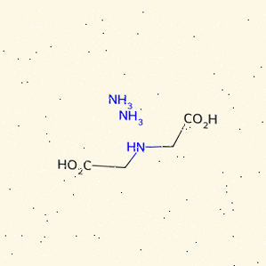 N.N.O=C(O)CNCC(=O)O